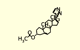 CC(=O)O[C@H]1CC[C@@]2(C)C(=CCC3C2CC[C@]2(C)C(n4ccnn4)=CCC32)C1